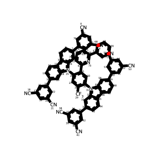 N#Cc1cc(C#N)cc(-c2ccc3c4ccc(-c5cc(C#N)cc(C#N)c5)cc4n(-c4cc(C(F)(F)F)c(-n5c6cc(-c7cc(C#N)cc(C#N)c7)ccc6c6ccc(-c7cc(C#N)cc(C#N)c7)cc65)cc4-c4cccc(-c5ccccc5)n4)c3c2)c1